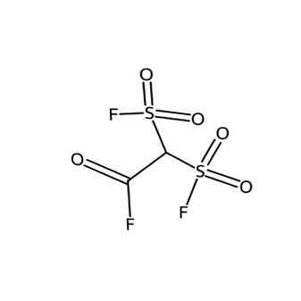 O=C(F)C(S(=O)(=O)F)S(=O)(=O)F